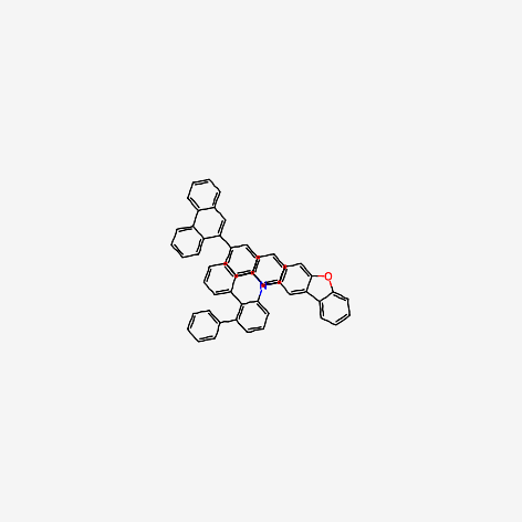 c1ccc(-c2ccccc2-c2c(-c3ccccc3)cccc2N(c2ccc(-c3cc4ccccc4c4ccccc34)cc2)c2ccc3oc4ccccc4c3c2)cc1